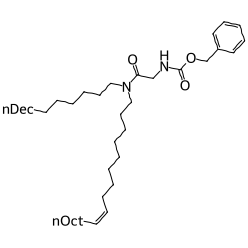 CCCCCCCC/C=C\CCCCCCCCN(CCCCCCCCCCCCCCCC)C(=O)CNC(=O)OCc1ccccc1